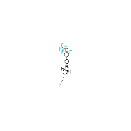 CCCCCCCC1CC[C@@H]2C[C@H](c3ccc(-c4cc(F)c(OC(F)(F)C(F)F)c(F)c4)cc3)CC[C@@H]2C1